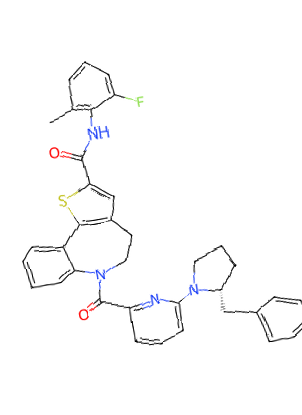 Cc1cccc(F)c1NC(=O)c1cc2c(s1)-c1ccccc1N(C(=O)c1cccc(N3CCC[C@@H]3Cc3ccccc3)n1)CC2